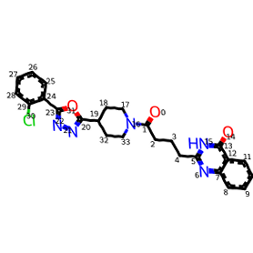 O=C(CCCc1nc2ccccc2c(=O)[nH]1)N1CCC(c2nnc(-c3ccccc3Cl)o2)CC1